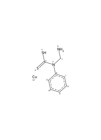 NCN(C(=S)S)c1ccccc1.[Cu]